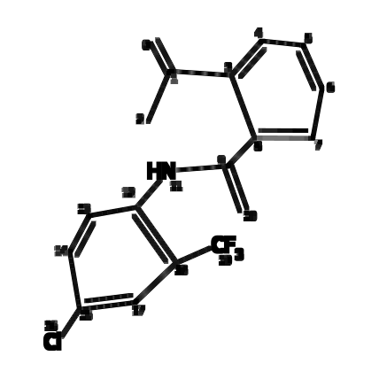 C=C(C)c1ccccc1C(=C)Nc1ccc(Cl)cc1C(F)(F)F